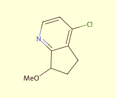 COC1CCc2c(Cl)ccnc21